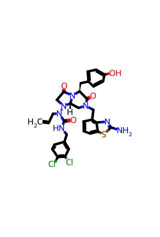 C=CCN(C(=O)NCc1ccc(Cl)c(Cl)c1)N1CC(=O)N2[C@@H](Cc3ccc(O)cc3)C(=O)N(Cc3cccc4sc(N)nc34)C[C@@H]21